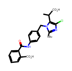 CCCCc1nc(Cl)c(C(C)C(=O)O)n1Cc1ccc(NC(=O)c2ccccc2C(=O)O)cc1